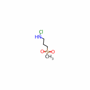 CS(=O)(=O)CCCNCl